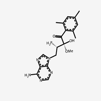 CO[C@@](O)(C(=O)c1c(C)cc(C)cc1C)[C@@H](P)Cn1cnc2c(N)ncnc21